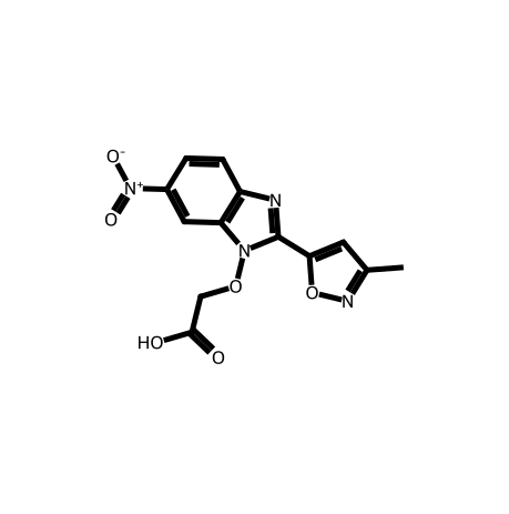 Cc1cc(-c2nc3ccc([N+](=O)[O-])cc3n2OCC(=O)O)on1